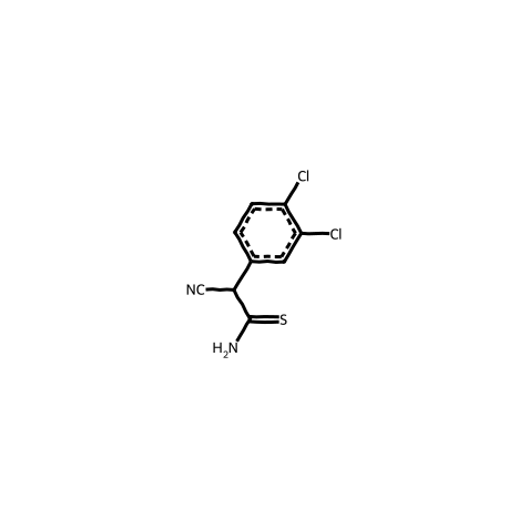 N#CC(C(N)=S)c1ccc(Cl)c(Cl)c1